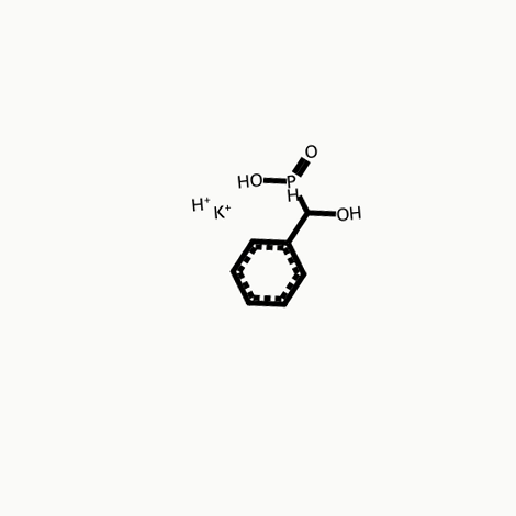 O=[PH](O)C(O)c1ccccc1.[H+].[K+]